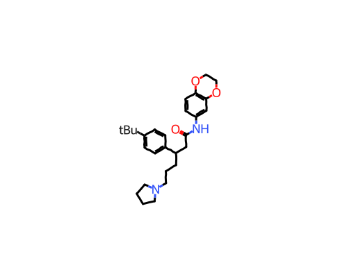 CC(C)(C)c1ccc(C(CCCN2CCCC2)CC(=O)Nc2ccc3c(c2)OCCO3)cc1